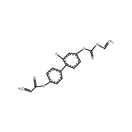 C=COC(=O)Oc1ccc(-c2ccc(OC(=O)C=C)cc2)c(F)c1